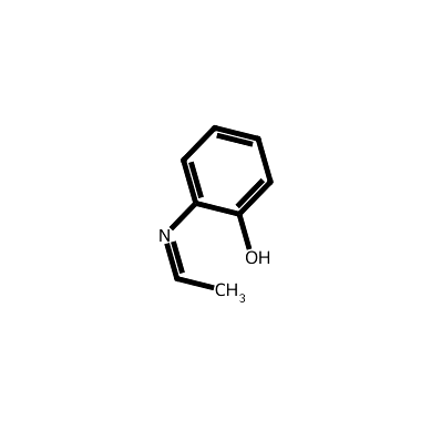 C/C=N\c1ccccc1O